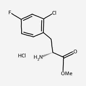 COC(=O)[C@H](N)Cc1ccc(F)cc1Cl.Cl